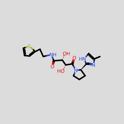 Cc1c[nH]c([C@H]2CCCN2C(=O)[C@H](O)[C@@H](O)C(=O)NCCc2cccs2)n1